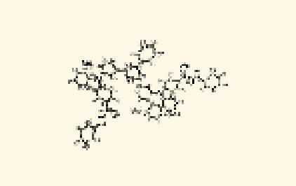 N#Cc1ccccc1-c1ccc(-c2nc(-c3ccccc3)nc(-c3ccc(C#N)c(-n4c5ccccc5c5cc(C(=O)OCc6ccccc6)ccc54)c3)n2)cc1-n1c2ccccc2c2cc(C(=O)OCc3ccccc3)ccc21